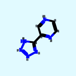 c1cnc(-c2nnn[nH]2)cn1